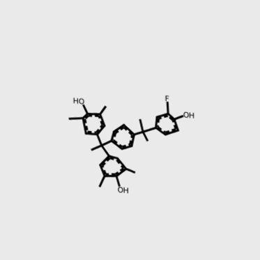 Cc1cc(C(C)(c2ccc(C(C)(C)c3ccc(O)c(F)c3)cc2)c2cc(C)c(O)c(C)c2)cc(C)c1O